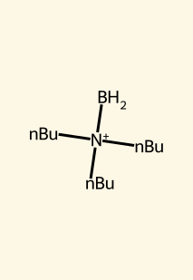 B[N+](CCCC)(CCCC)CCCC